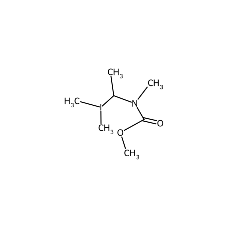 COC(=O)N(C)C(C)I(C)C